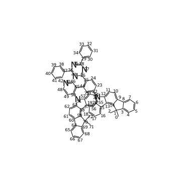 CC1(C)c2ccccc2-c2ccc3c(c21)c1ccccc1n3-c1ccc(-c2nc(-c3ccccc3)nc(-c3ccccc3)n2)c(-c2cnccc2-n2c3ccccc3c3c4c(ccc32)-c2ccccc2C4(C)C)c1